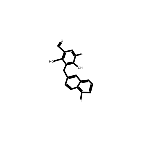 O=Cc1cc(Cl)c(O)c(Cc2ccc3c(Cl)cccc3c2)c1O